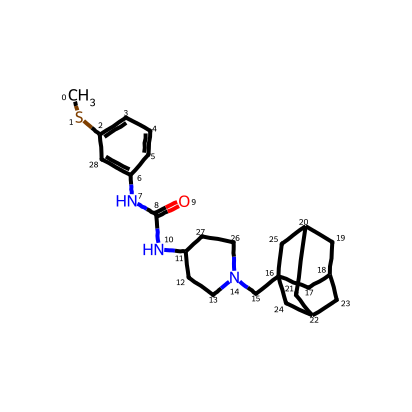 CSc1cccc(NC(=O)NC2CCN(CC34CC5CC(CC(C5)C3)C4)CC2)c1